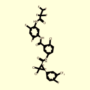 O=C(Nc1cc(NC(=O)C(F)(F)C(F)F)c(F)cc1F)c1cc(NC(=O)[C@H]2[C@H](c3ccc(F)c(C(F)(F)F)c3)C2(Cl)Cl)ccc1Cl